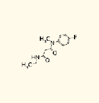 CCNC(=O)CC(=O)N(C)c1ccc(F)cc1